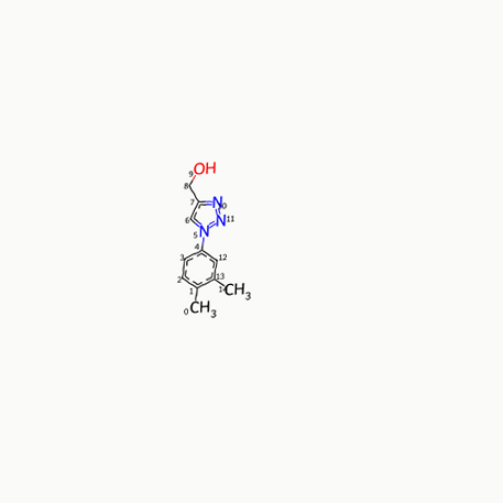 Cc1ccc(-n2cc(CO)nn2)cc1C